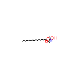 CCCCCCCC=CCCCCCCCC(=O)OC(C(C)C)(C(C)O)N(C)C